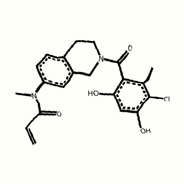 C=CC(=O)N(C)c1ccc2c(c1)CN(C(=O)c1c(O)cc(O)c(Cl)c1C)CC2